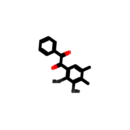 COc1c(C(=O)C(=O)c2ccccc2)cc(C)c(C)c1OC